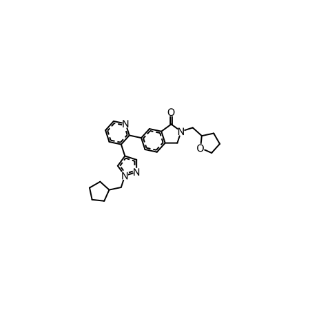 O=C1c2cc(-c3ncccc3-c3cnn(CC4CCCC4)c3)ccc2CN1CC1CCCO1